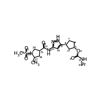 CC(C)NC(=O)O[C@@H]1CC[C@H](c2cc(NC(=O)C3CC(C)N(S(C)(=O)=O)C3)n[nH]2)C1